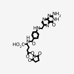 Nc1nc2ncc(CNc3ccc(C(=O)NC(CCC(=O)ON4C(=O)CCC4=O)C(=O)O)cc3)nc2c(=O)[nH]1